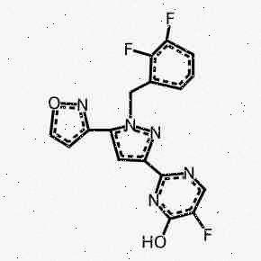 Oc1nc(-c2cc(-c3ccon3)n(Cc3cccc(F)c3F)n2)ncc1F